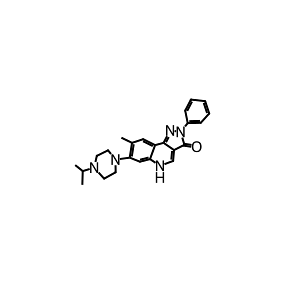 Cc1cc2c3nn(-c4ccccc4)c(=O)c-3c[nH]c2cc1N1CCN(C(C)C)CC1